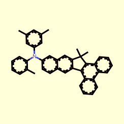 Cc1cc(C)cc(N(c2ccc3cc4c(cc3c2)C(C)(C)c2c-4c3ccccc3c3ccccc23)c2ccccc2C)c1